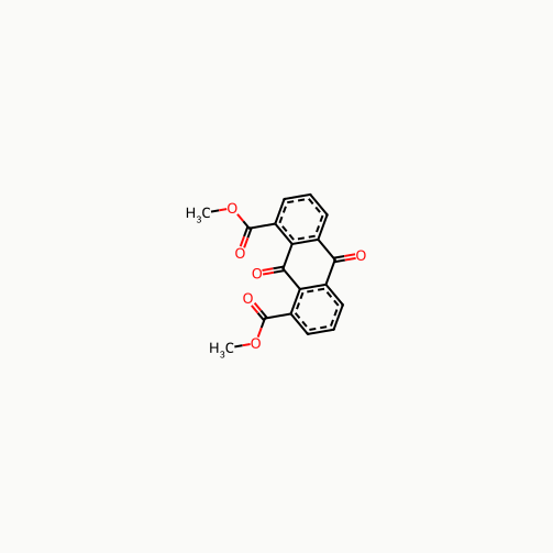 COC(=O)c1cccc2c1C(=O)c1c(C(=O)OC)cccc1C2=O